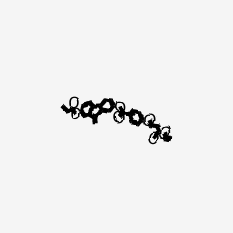 C=COC(=O)CCOc1ccc(C(=O)Oc2ccc3c(c2)C(C)c2cc(OC(=O)C=C)ccc2-3)cc1